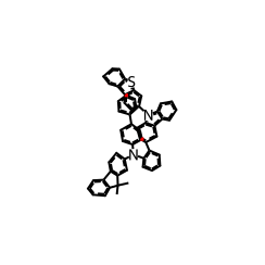 CC1(C)c2ccccc2-c2ccc(N(c3ccc(-c4ccccc4)cc3)c3ccccc3-c3ccc4c(c3)c3ccccc3n4-c3ccc4c(c3)sc3ccccc34)cc21